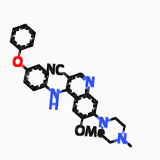 COc1cc2c(Nc3ccc(Oc4ccccc4)cc3)c(C#N)cnc2cc1N1CCN(C)CC1